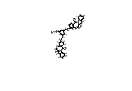 CNc1cc(COc2ccc3c(c2)N=C[C@@H]2Cc4ccccc4N2C3=O)cc(COc2ccc3c(c2)N=C[C@@H]2Cc4ccccc4N2C3=O)c1